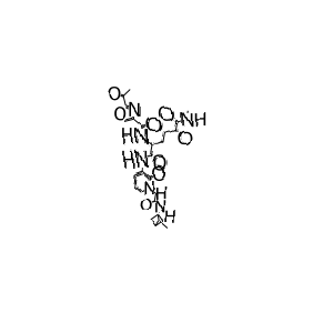 CNC(=O)C(=O)CC[C@H](NC(=O)c1coc(C(C)=O)n1)C(=O)Nc1cccn(CC(=O)NC23CC(C2)[C@@H]3C)c1=O